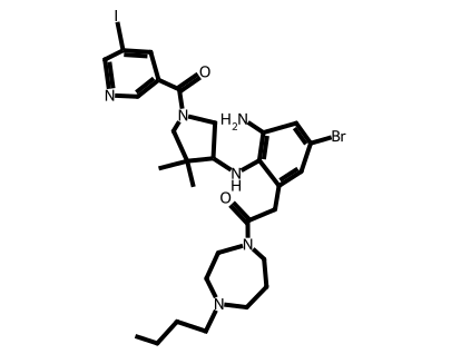 CCCCN1CCCN(C(=O)Cc2cc(Br)cc(N)c2NC2CN(C(=O)c3cncc(I)c3)CC2(C)C)CC1